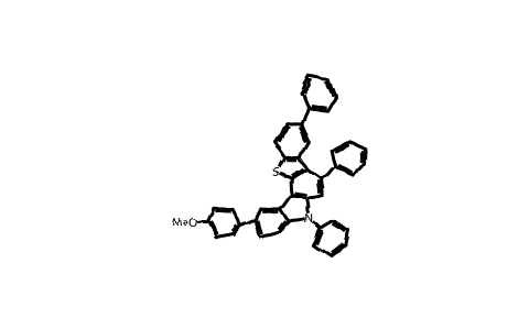 COc1ccc(-c2ccc3c(c2)c2c4sc5ccc(-c6ccccc6)cc5c4c(-c4ccccc4)cc2n3-c2ccccc2)cc1